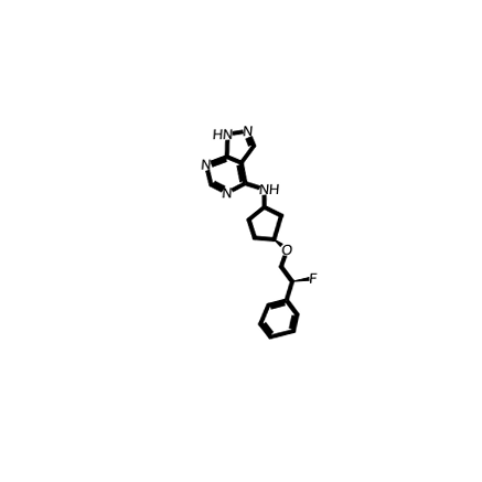 F[C@H](CO[C@H]1CCC(Nc2ncnc3[nH]ncc23)C1)c1ccccc1